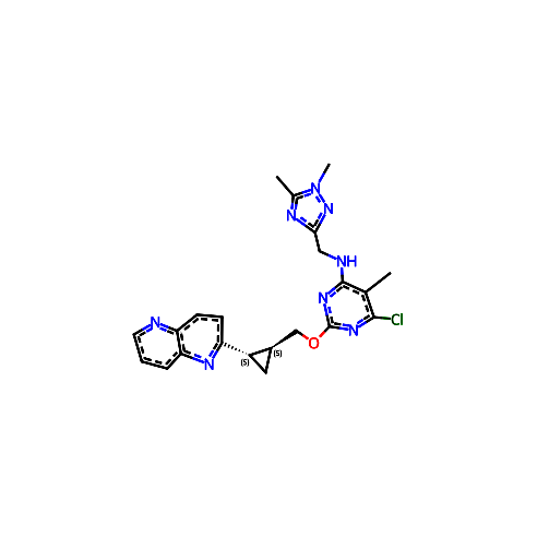 Cc1c(Cl)nc(OC[C@H]2C[C@@H]2c2ccc3ncccc3n2)nc1NCc1nc(C)n(C)n1